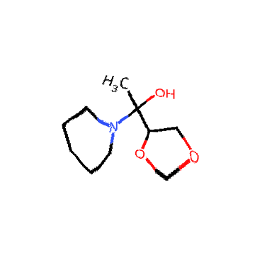 CC(O)(C1COCO1)N1CCCCC1